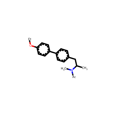 CCOc1ccc(-c2ccc(CC(C)N(C)C(C)=O)cc2)cc1